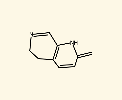 C=C1C=CC2=C(C=NCC2)N1